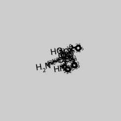 CC(c1ccccc1)C(C)(C)C(=O)O[C@H]1C[C@@](CCc2c[nH]c3ccccc23)(OC(=O)C(C)(C)Cc2ccccc2)[C@H](OCCCCCN)O[C@@H]1CO